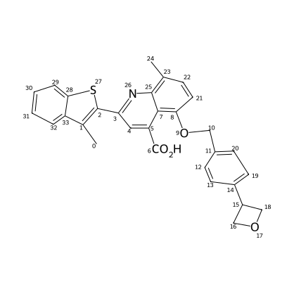 Cc1c(-c2cc(C(=O)O)c3c(OCc4ccc(C5COC5)cc4)ccc(C)c3n2)sc2ccccc12